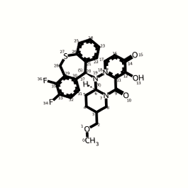 COCC1CC[C@@H]2N(C1)C(=O)c1c(O)c(=O)ccn1N2[C@@H]1c2ccccc2SCc2c1ccc(F)c2F